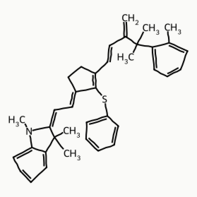 C=C(/C=C/C1=C(Sc2ccccc2)C(=C/C=C2/N(C)c3ccccc3C2(C)C)/CC1)C(C)(C)c1ccccc1C